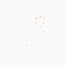 Cc1cc2c(cc1C)OC1=CC3C(C=C1O2)C1(C(C)C)c2ccccc2C3(C(C)C)c2cc(C)c(C)cc21